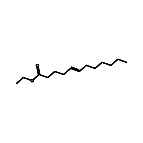 CCCCCC/C=C/CCCC(=O)OCC